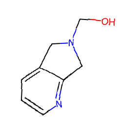 OCN1Cc2cccnc2C1